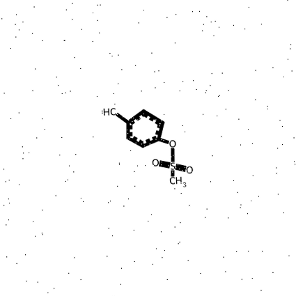 [CH]c1ccc(OS(C)(=O)=O)cc1